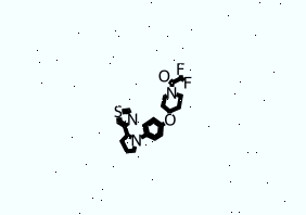 O=C(C(F)F)N1CCC(Oc2ccc(N3CCCC3c3cscn3)cc2)CC1